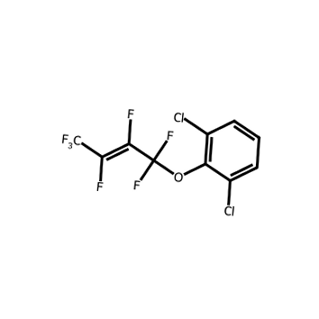 F/C(=C(/F)C(F)(F)Oc1c(Cl)cccc1Cl)C(F)(F)F